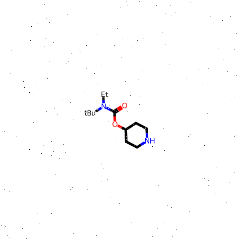 CCN(C(=O)OC1CCNCC1)C(C)(C)C